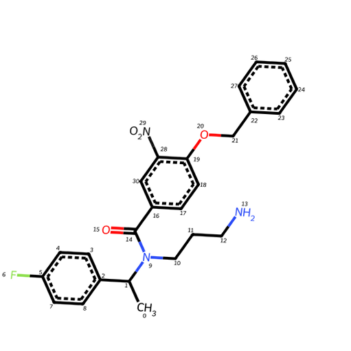 CC(c1ccc(F)cc1)N(CCCN)C(=O)c1ccc(OCc2ccccc2)c([N+](=O)[O-])c1